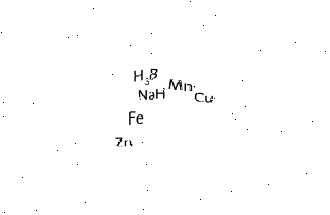 B.[Cu].[Fe].[Mn].[NaH].[Zn]